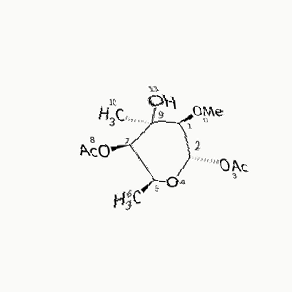 CO[C@H]1[C@H](OC(C)=O)O[C@@H](C)[C@@H](OC(C)=O)[C@@]1(C)O